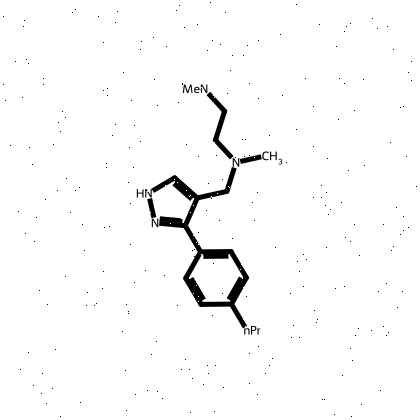 CCCc1ccc(-c2n[nH]cc2CN(C)CCNC)cc1